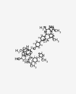 Cc1ncsc1-c1ccc(C(C)NC(=O)[C@@H]2C[C@@H](O)CN2C(=O)C(NC(=O)COc2ccc(-c3ccc(C4=NC(N)c5nnc(C)n5-c5sc(C)c(C)c54)cc3)cc2)C(C)(C)C)cc1